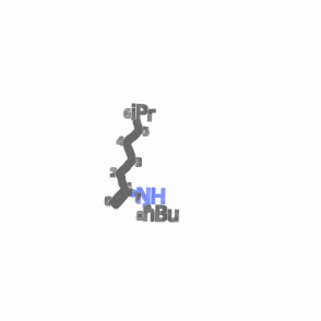 C=C(CCCCC(C)C)NCCCC